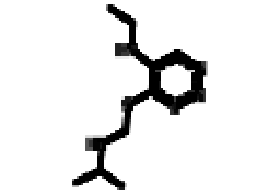 CCNc1cnnnc1SCNC(C)C